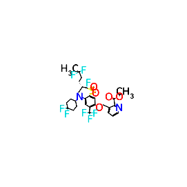 COC(=O)c1ncccc1COc1cc2c(cc1C(F)(F)F)N(C1CCC(F)(F)CC1)C[C@H](CCC(C)(F)F)[C@H](F)S2(=O)=O